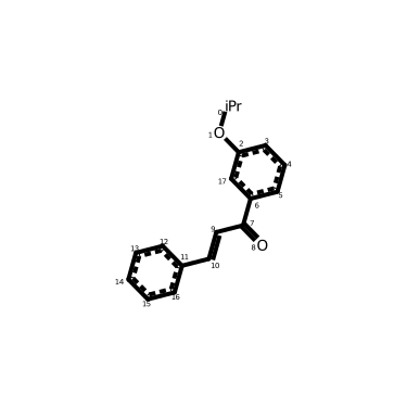 CC(C)Oc1cccc(C(=O)C=Cc2ccccc2)c1